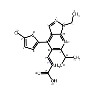 CCn1ncc2c(-c3ccc(Cl)s3)c(/C=C/C(=O)O)c(C(C)C)nc21